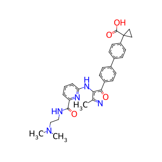 Cc1noc(-c2ccc(-c3ccc(C4(C(=O)O)CC4)cc3)cc2)c1Nc1cccc(C(=O)NCCN(C)C)n1